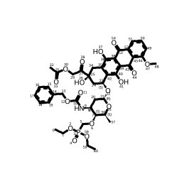 CCOP(=O)(CO[C@H]1[C@@H](NC(=O)OCc2ccccc2)C[C@H](O[C@H]2C[C@](O)(C(=O)COC(C)=O)Cc3c(O)c4c(c(O)c32)C(=O)c2c(OC)cccc2C4=O)O[C@H]1C)OCC